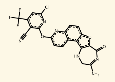 CC1=NC(=O)c2oc3ccc4nc(Oc5nc(Cl)cc(C(F)(F)F)c5C#N)ccc4c3c2NC1